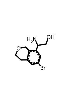 NC(CO)c1cc(Br)cc2c1COCC2